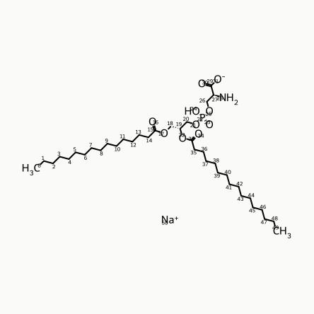 CCCCCCCCCCCCCCCC(=O)OC[C@H](COP(=O)(O)OC[C@H](N)C(=O)[O-])OC(=O)CCCCCCCCCCCCCCC.[Na+]